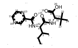 CCC(C)[C@H](NC(=O)c1cnccn1)C(=O)N[C@H](C(=O)O)C(C)(C)C